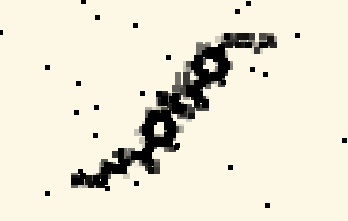 CCOC(=O)Oc1ccc(C(=O)NS(=O)(=O)c2ccc(C(=O)NCCOC)cc2)cn1